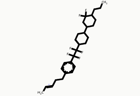 C/C=C/CCc1ccc(C(F)(F)C(F)(F)C2CCC(C3CCC(CCC)C(F)(F)C3)CC2)cc1